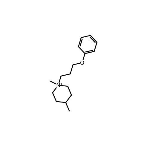 CC1CC[N+](C)(CCCOc2ccccc2)CC1